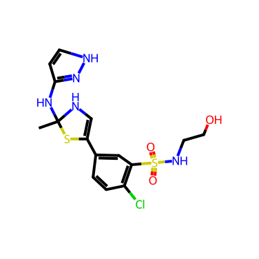 CC1(Nc2cc[nH]n2)NC=C(c2ccc(Cl)c(S(=O)(=O)NCCO)c2)S1